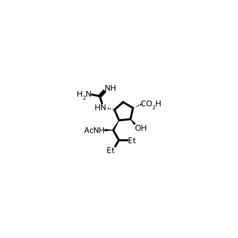 CCC(CC)[C@@H](NC(C)=O)[C@@H]1[C@H](O)[C@@H](C(=O)O)C[C@H]1NC(=N)N